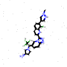 Cn1cc(-c2ccc3ccc(-c4nnc5ccc([C@@H](N6CCC(N)C6)C(F)(F)F)cn45)nc3c2F)cn1